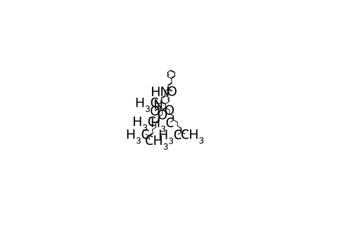 CC(C)=CCC/C(C)=C/COc1c(OC/C=C(\C)CCC=C(C)C)c2ccc(NC(=O)/C=C/c3ccccc3)cc2n(C)c1=O